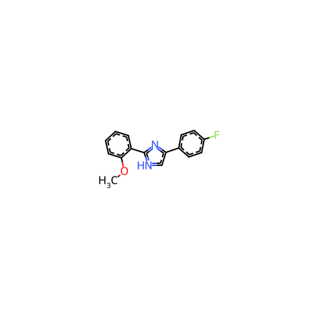 COc1ccccc1-c1nc(-c2ccc(F)cc2)c[nH]1